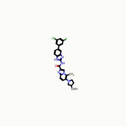 COC1CCN(c2ccc3nc(C(=O)Nc4nc5cc(-c6cc(F)cc(Cl)c6)ccc5[nH]4)cn3c2C)C1